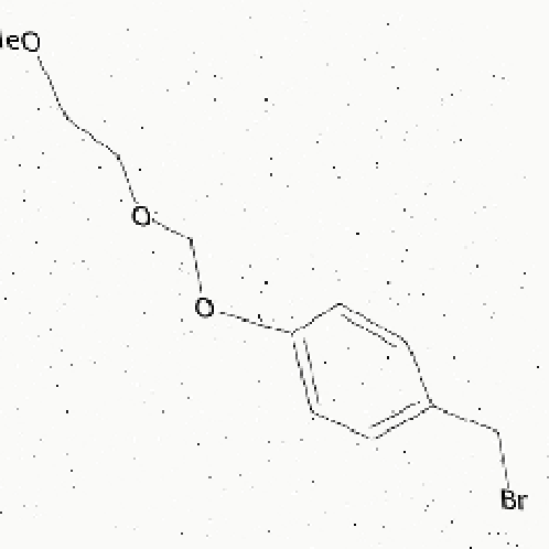 COCCOCOc1ccc(CBr)cc1